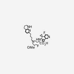 COC(CF)CN(CCCCc1ccc2c(n1)NCCC2)CCC(NC(=O)C1(c2c(F)cncc2Cl)CC1)C(=O)O